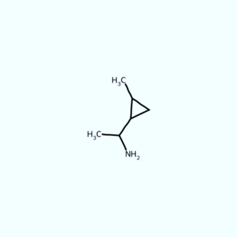 CC(N)C1CC1C